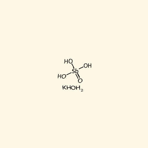 O.[KH].[O]=[Sb]([OH])([OH])[OH]